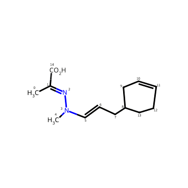 CC(=NN(C)C=CCC1CC=CCC1)C(=O)O